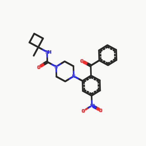 CC1(NC(=O)N2CCN(c3cc([N+](=O)[O-])ccc3C(=O)c3ccccc3)CC2)CCC1